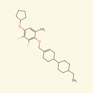 CCC1CCC(C2CC=C(COc3c(C)cc(OC4CCCC4)c(F)c3F)CC2)CC1